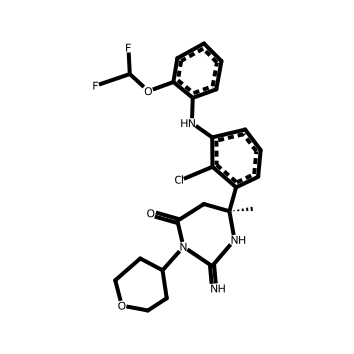 C[C@@]1(c2cccc(Nc3ccccc3OC(F)F)c2Cl)CC(=O)N(C2CCOCC2)C(=N)N1